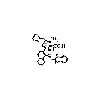 C[C@@H](OCc1ccccc1)[C@H](NC(=O)c1ccc2ccccc2c1OCc1nc2ccccc2s1)C(=O)O